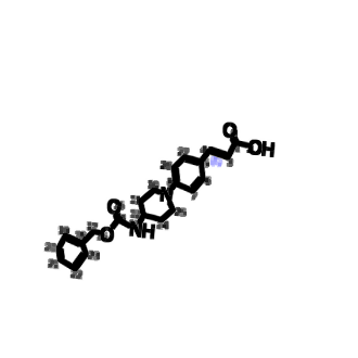 O=C(O)/C=C/c1ccc(N2CCC(NC(=O)OCc3ccccc3)CC2)cc1